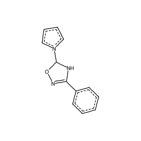 c1ccc(C2=NOC(n3cccc3)N2)cc1